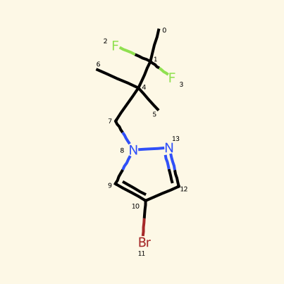 CC(F)(F)C(C)(C)Cn1cc(Br)cn1